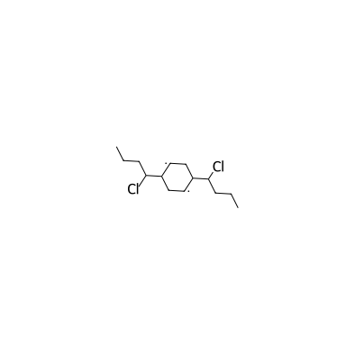 CCCC(Cl)C1[CH]CC(C(Cl)CCC)[CH]C1